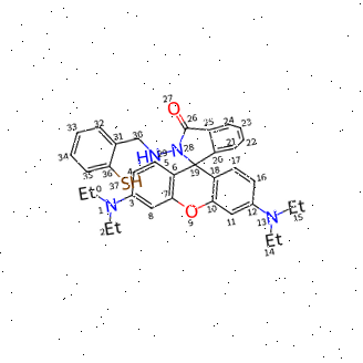 CCN(CC)c1ccc2c(c1)Oc1cc(N(CC)CC)ccc1C21c2ccccc2C(=O)N1NCc1ccccc1S